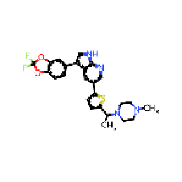 CC(c1ccc(-c2cnc3[nH]cc(-c4ccc5c(c4)OC(F)(F)O5)c3c2)s1)N1CCN(C)CC1